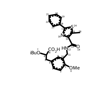 COc1ccc(CC(OCC(C)C)C(=O)O)cc1CNC(=O)c1nc(-c2ccccc2)sc1C